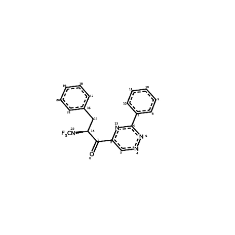 O=C(c1cnnc(-c2ccccc2)n1)[C@H](Cc1ccccc1)NC(F)(F)F